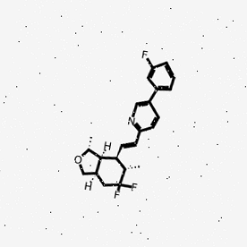 C[C@H]1OC[C@@H]2CC(F)(F)[C@@H](C)[C@H](C=Cc3ccc(-c4cccc(F)c4)cn3)[C@@H]21